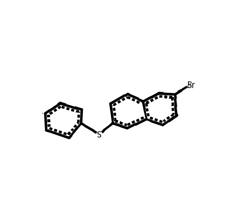 Brc1ccc2cc(Sc3cc[c]cc3)ccc2c1